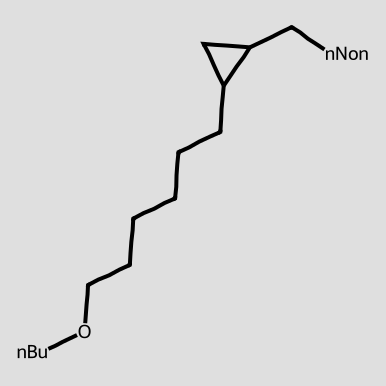 CCCCCCCCCCC1CC1CCCCCCOCCCC